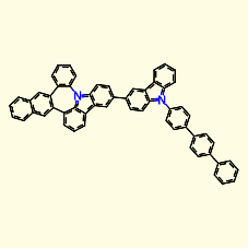 c1ccc(-c2ccc(-c3ccc(-n4c5ccccc5c5cc(-c6ccc7c(c6)c6cccc8c6n7-c6ccccc6-c6cc7ccccc7cc6-8)ccc54)cc3)cc2)cc1